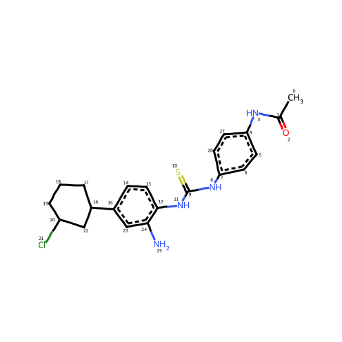 CC(=O)Nc1ccc(NC(=S)Nc2ccc(C3CCCC(Cl)C3)cc2N)cc1